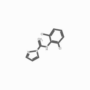 C=C(Nc1c(Cl)cccc1Cl)n1cccn1